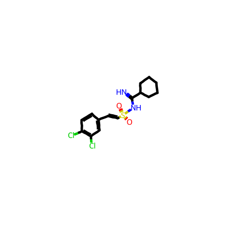 N=C(NS(=O)(=O)/C=C/c1ccc(Cl)c(Cl)c1)C1CCCCC1